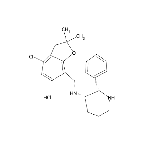 CC1(C)Cc2c(Cl)ccc(CN[C@H]3CCCN[C@H]3c3ccccc3)c2O1.Cl